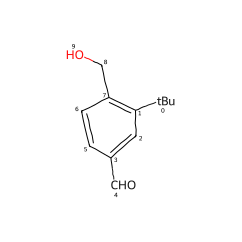 CC(C)(C)c1cc(C=O)ccc1CO